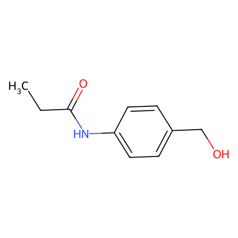 CCC(=O)Nc1ccc(CO)cc1